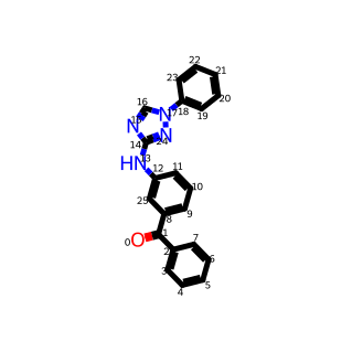 O=C(c1ccccc1)c1cccc(Nc2ncn(-c3ccccc3)n2)c1